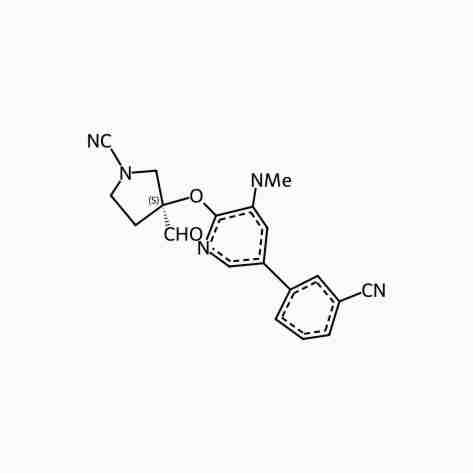 CNc1cc(-c2cccc(C#N)c2)cnc1O[C@@]1(C=O)CCN(C#N)C1